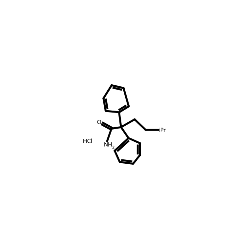 CC(C)CCC(C(N)=O)(c1ccccc1)c1ccccc1.Cl